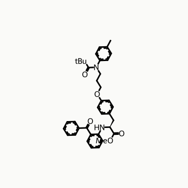 COC(=O)[C@H](Cc1ccc(OCCCN(C(=O)C(C)(C)C)c2ccc(C)cc2)cc1)Nc1ccccc1C(=O)c1ccccc1